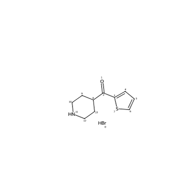 Br.O=C(c1cccs1)C1CCNCC1